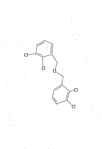 Clc1cccc(COCc2cccc(Cl)c2Cl)c1Cl